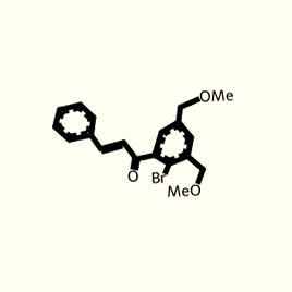 COCc1cc(COC)c(Br)c(C(=O)/C=C/c2ccccc2)c1